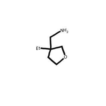 CCC1(CN)CCOC1